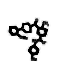 COc1ccccc1N1CCN(C(=O)c2cc([S+]([O-])Nc3ccc(C(C)(C)C)cc3)ccc2C)CC1